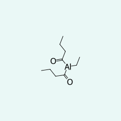 CCC[C](=O)[Al]([CH2]C)[C](=O)CCC